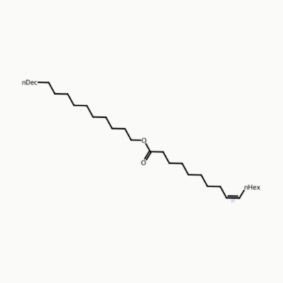 CCCCCC/C=C\CCCCCCCC(=O)OCCCCCCCCCCCCCCCCCCCC